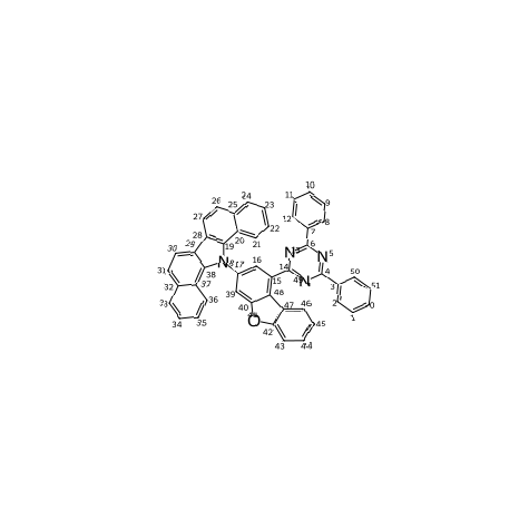 c1ccc(-c2nc(-c3ccccc3)nc(-c3cc(-n4c5c6ccccc6ccc5c5ccc6ccccc6c54)cc4oc5ccccc5c34)n2)cc1